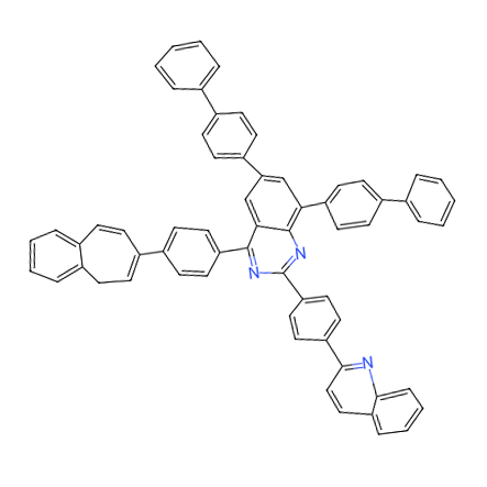 C1=Cc2ccccc2CC=C1c1ccc(-c2nc(-c3ccc(-c4ccc5ccccc5n4)cc3)nc3c(-c4ccc(-c5ccccc5)cc4)cc(-c4ccc(-c5ccccc5)cc4)cc23)cc1